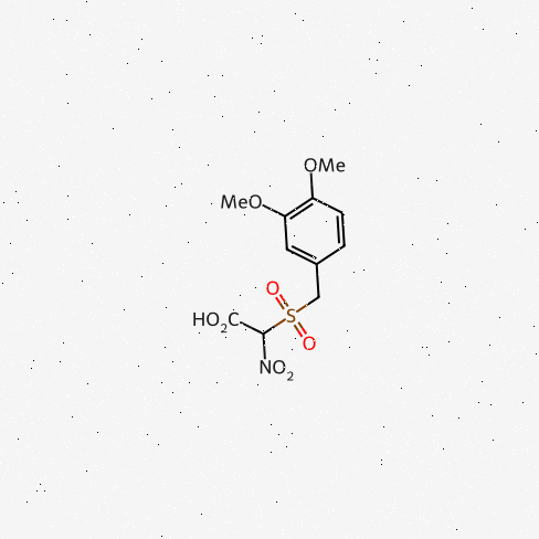 COc1ccc(CS(=O)(=O)C(C(=O)O)[N+](=O)[O-])cc1OC